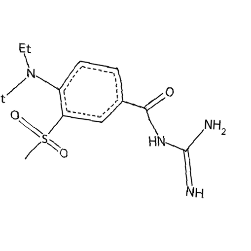 CCN(CC)c1ccc(C(=O)NC(=N)N)cc1S(C)(=O)=O